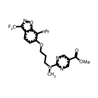 CCCc1c(OCCCN(C)c2ncc(C(=O)OC)cn2)ccc2c(C(F)(F)F)noc12